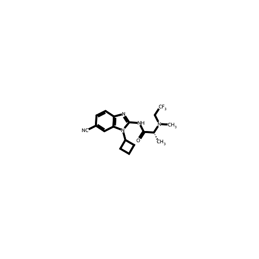 C[C@H](C(=O)Nc1nc2ccc(C#N)cc2n1C1CCC1)N(C)CC(F)(F)F